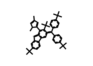 CC1=CC(C)C(c2c(C(C)(C)C)c(=C(c3ccc(C(C)(C)C)cc3)c3ccc(C(C)(C)C)cc3)cc3c2=[C]c2cc(C(C)(C)C)ccc2-3)=C1